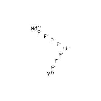 [F-].[F-].[F-].[F-].[F-].[F-].[F-].[Li+].[Nd+3].[Y+3]